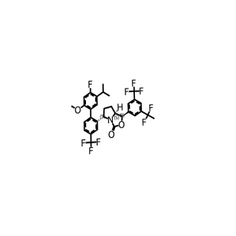 COc1cc(F)c(C(C)C)cc1-c1ccc(C(F)(F)F)cc1[C@@H]1CC[C@H]2[C@@H](c3cc(C(C)(F)F)cc(C(F)(F)F)c3)OC(=O)N12